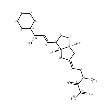 CC(C/C=C1\C[C@@H]2CC[C@H](/C=C/[C@H](O)C3CCCCC3)[C@H]2C1)C(=O)C(=O)O